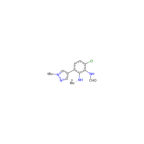 CC[C@@H](C)Nc1c(-c2cnn(C(C)(C)C)c2)ccc(Cl)c1NC=O